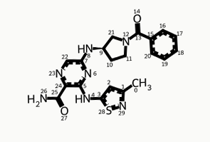 Cc1cc(Nc2nc(N[C@@H]3CCN(C(=O)c4ccccc4)C3)cnc2C(N)=O)sn1